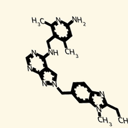 CCc1nc2ccc(Cn3cc4c(NCc5c(C)cc(N)nc5C)ncnc4n3)cc2n1C